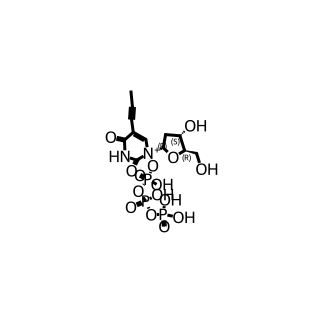 CC#CC1=C[N+](OP(=O)(O)OP(=O)(O)OP(=O)(O)O)([C@H]2C[C@H](O)[C@@H](CO)O2)C(=O)NC1=O